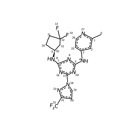 Cc1cc(Nc2nc(N[C@H]3CCC(F)(F)C3)nc(-n3ccc(C(F)(F)F)n3)n2)ccn1